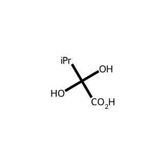 CC(C)C(O)(O)C(=O)O